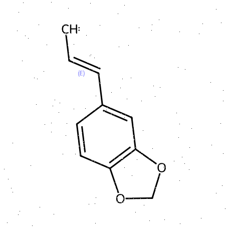 [CH]/C=C/c1ccc2c(c1)OCO2